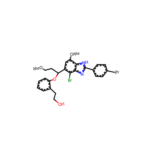 COCCC(Oc1ccccc1CCO)c1cc(OC)c2[nH]c(-c3ccc(C(C)C)cc3)nc2c1Br